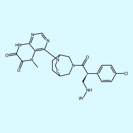 CC(C)NC[C@@H](C(=O)N1CC2CCC(C1)N(c1ncnc3[nH]c(=O)c(=O)n(C)c13)CC2)c1ccc(Cl)cc1